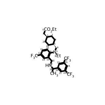 CCOC(=O)C[C@H]1CC[C@H](CN(CC)c2ccc(C(F)(F)F)cc2CNC(C)c2cc(C(F)(F)F)cc(C(F)(F)F)c2)CC1